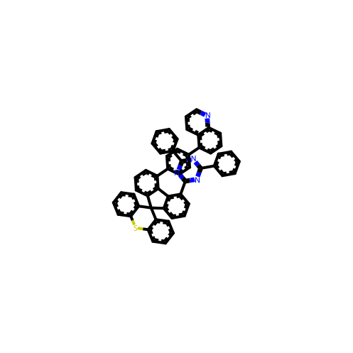 c1ccc(-c2nc(-c3ccccc3)nc(-c3cccc4c3-c3c(-c5ccc(-c6cccc7ncccc67)cc5)cccc3C43c4ccccc4Sc4ccccc43)n2)cc1